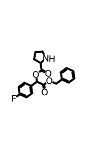 O=C(OC(C(=O)OCc1ccccc1)c1ccc(F)cc1)C1CCCN1